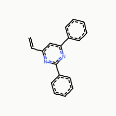 C=Cc1cc(-c2ccccc2)nc(-c2ccccc2)n1